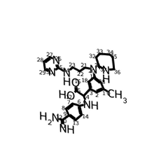 Cc1cc(C(Nc2ccc(C(=N)N)cc2)C(=O)O)cc([N+](CCCNc2ncccn2)=C2CCCCCN2)c1